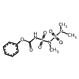 CN(C)S(=O)(=O)N(C)S(=O)(=O)NC(=O)Oc1ccccc1